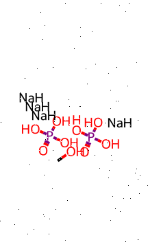 CO.O=P(O)(O)O.O=P(O)(O)O.[NaH].[NaH].[NaH].[NaH]